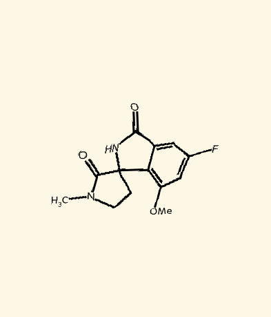 COc1cc(F)cc2c1C1(CCN(C)C1=O)NC2=O